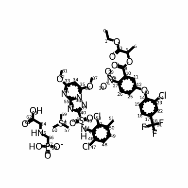 CCOC(=O)C(C)OC(=O)c1cc(Oc2ccc(C(F)(F)F)cc2Cl)ccc1[N+](=O)[O-].COc1cc(OC)n2nc(S(=O)(=O)Nc3c(Cl)ccc(C)c3Cl)nc2n1.C[S+](C)C.O=C(O)CNCP(=O)([O-])O